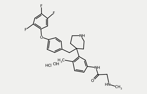 CNCC(=O)Nc1ccc(C)c(C2(Cc3ccc(Oc4cc(F)c(F)cc4F)cc3)CCNCC2)c1.Cl.Cl